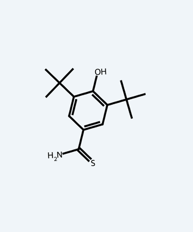 CC(C)(C)c1cc(C(N)=S)cc(C(C)(C)C)c1O